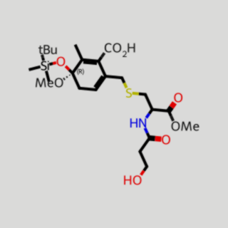 COC(=O)C(CSCC1=CC[C@@](OC)(O[Si](C)(C)C(C)(C)C)C(C)=C1C(=O)O)NC(=O)CCO